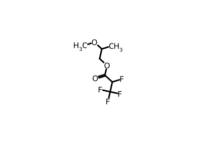 COC(C)COC(=O)C(F)C(F)(F)F